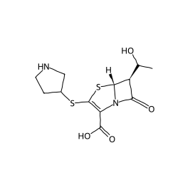 CC(O)[C@H]1C(=O)N2C(C(=O)O)=C(SC3CCNC3)S[C@H]12